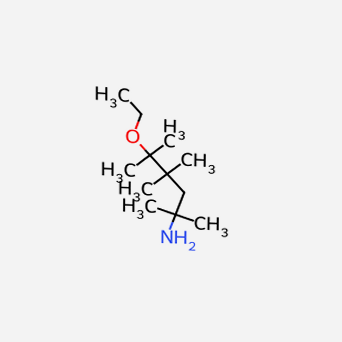 CCOC(C)(C)C(C)(C)CC(C)(C)N